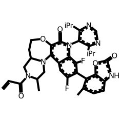 C=CC(=O)N1CC2CCOc3c(c4cc(F)c(-c5c(C)ccc6[nH]c(=O)oc56)c(F)c4n(-c4c(C(C)C)ncnc4C(C)C)c3=O)N2CC1C